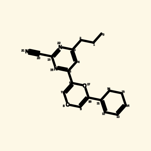 CCCc1cc(C2=COC=C(C3=CC=CCC3)O2)nc(C#N)n1